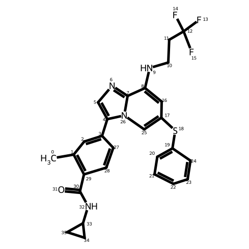 Cc1cc(-c2cnc3c(NCCC(F)(F)F)cc(Sc4ccccc4)cn23)ccc1C(=O)NC1CC1